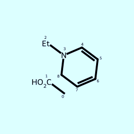 CC(=O)O.CCN1C=CC=CC1